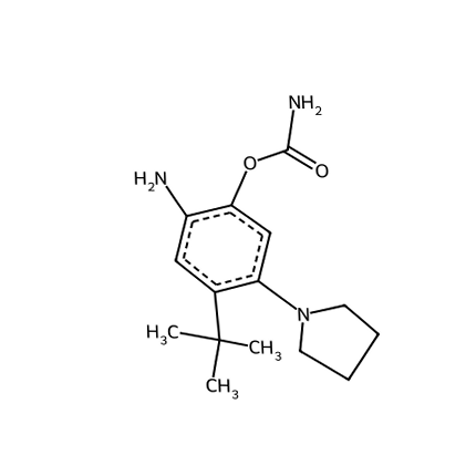 CC(C)(C)c1cc(N)c(OC(N)=O)cc1N1CCCC1